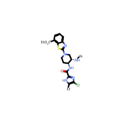 CCOC(=O)c1cccc2nc(N3CC[C@H](NC(=O)c4nc(Cl)c(CC)[nH]4)[C@@H](NC(C)C)C3)sc12